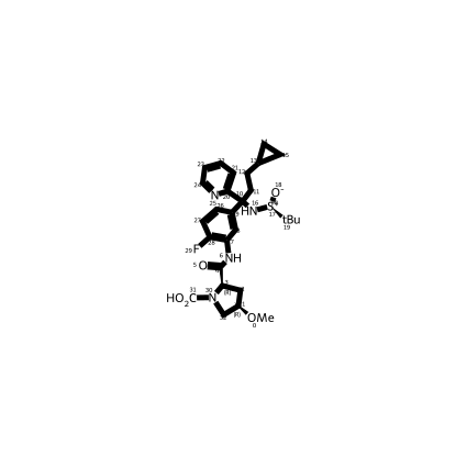 CO[C@@H]1C[C@H](C(=O)Nc2cc(C(CCC3CC3)(N[S@@+]([O-])C(C)(C)C)c3ccccn3)ccc2F)N(C(=O)O)C1